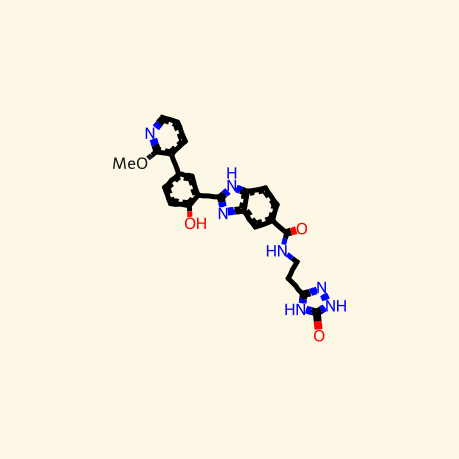 COc1ncccc1-c1ccc(O)c(-c2nc3cc(C(=O)NCCc4n[nH]c(=O)[nH]4)ccc3[nH]2)c1